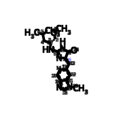 COC[C@@H](CC(C)C)NC1=N/C(=C\c2ccc3ncn(C)c3c2)C(=O)N1